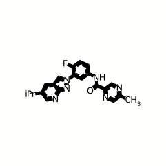 Cc1cnc(C(=O)Nc2ccc(F)c(-n3cc4cc(C(C)C)cnc4n3)c2)cn1